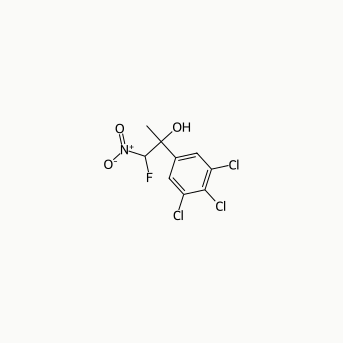 CC(O)(c1cc(Cl)c(Cl)c(Cl)c1)C(F)[N+](=O)[O-]